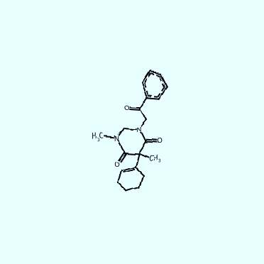 CN1CN(CC(=O)c2ccccc2)C(=O)C(C)(C2=CCCCC2)C1=O